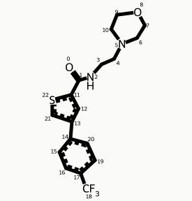 O=C(NCCN1CCOCC1)c1cc(-c2ccc(C(F)(F)F)cc2)cs1